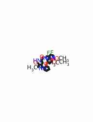 Cc1[nH]c(-c2ccccc2Oc2ccccc2)c2cc(C(=O)NCC3CN(C(=O)OC(C)(C)C)CC3(F)F)[nH]c(=O)c12